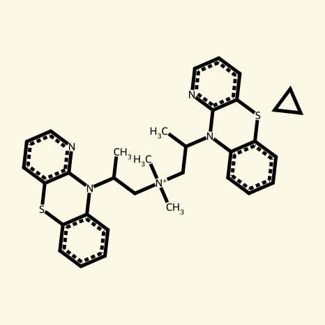 C1CC1.CC(C[N+](C)(C)CC(C)N1c2ccccc2Sc2cccnc21)N1c2ccccc2Sc2cccnc21